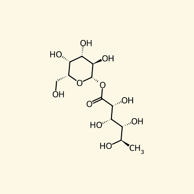 C[C@@H](O)[C@@H](O)[C@H](O)[C@@H](O)C(=O)O[C@@H]1O[C@H](CO)[C@H](O)[C@H](O)[C@H]1O